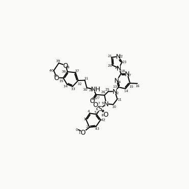 COc1ccc(S(=O)(=O)N2CCN(c3cc(C)nc(-n4ccnc4)n3)CC2C(=O)NCCc2ccc3c(c2)OCCO3)cc1